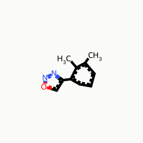 Cc1cccc(-c2conn2)c1C